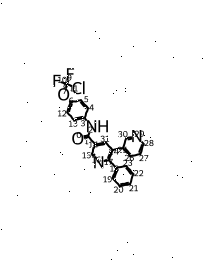 O=C(Nc1ccc(OC(F)(F)Cl)cc1)c1cnc(-c2ccccc2)c(-c2cccnc2)c1